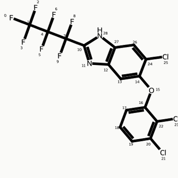 FC(F)(F)C(F)(F)C(F)(F)c1nc2cc(Oc3cccc(Cl)c3Cl)c(Cl)cc2[nH]1